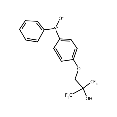 [O-][S+](c1ccccc1)c1ccc(OCC(O)(C(F)(F)F)C(F)(F)F)cc1